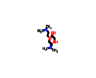 CN(C)CCOCCN(C)C.OCCO